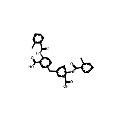 Cc1ccccc1C(=O)Nc1ccc(Cc2ccc(NC(=O)c3ccccc3C)c(C(=O)O)c2)cc1C(=O)O